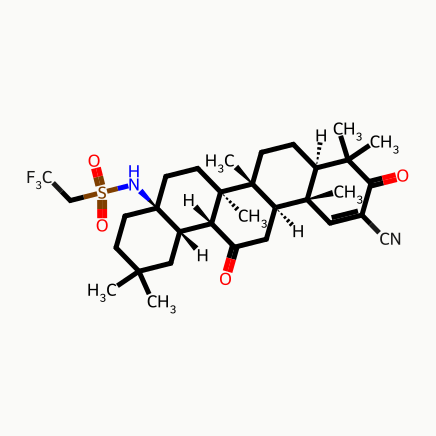 CC1(C)CC[C@]2(NS(=O)(=O)CC(F)(F)F)CC[C@]3(C)[C@H](C(=O)C[C@@H]4[C@@]5(C)C=C(C#N)C(=O)C(C)(C)[C@@H]5CC[C@]43C)[C@@H]2C1